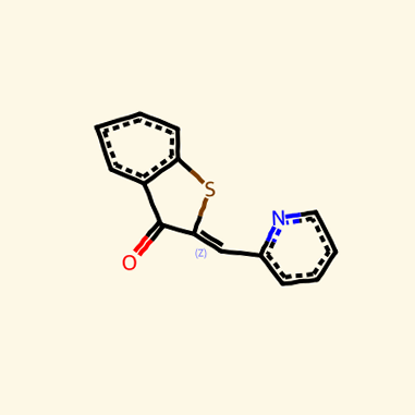 O=C1/C(=C/c2ccccn2)Sc2ccccc21